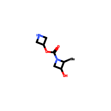 CC(C)(C)C1C(O)CN1C(=O)OC1CNC1